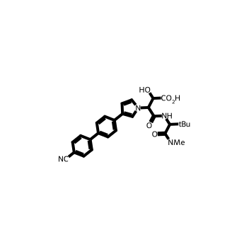 CNC(=O)C(NC(=O)C(C(O)C(=O)O)n1ccc(-c2ccc(-c3ccc(C#N)cc3)cc2)c1)C(C)(C)C